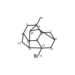 CC12CC3CC4C1CC1CC2C(C3)C4(Br)C1